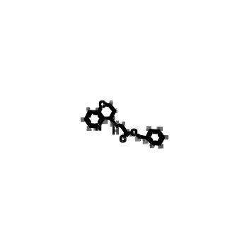 O=C(CNC1CCOc2cccnc21)OCc1ccccc1